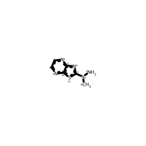 CN(N)c1nc2nccnc2s1